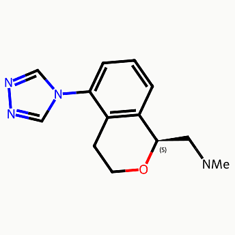 CNC[C@H]1OCCc2c1cccc2-n1cnnc1